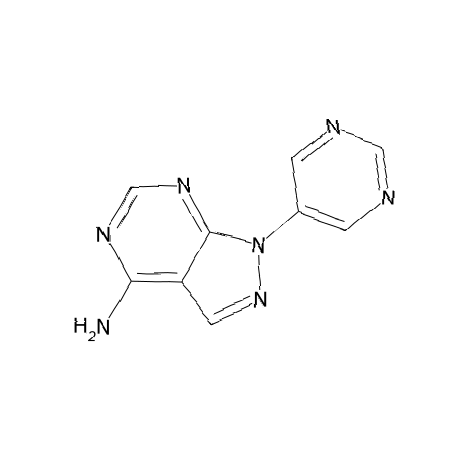 Nc1ncnc2c1cnn2-c1cncnc1